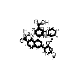 COc1ncc(-c2ccc3c(Nc4cc(NC5CCCCC5)cc(C(=O)O)c4)c(C(N)=O)cnc3c2)c(OC)n1